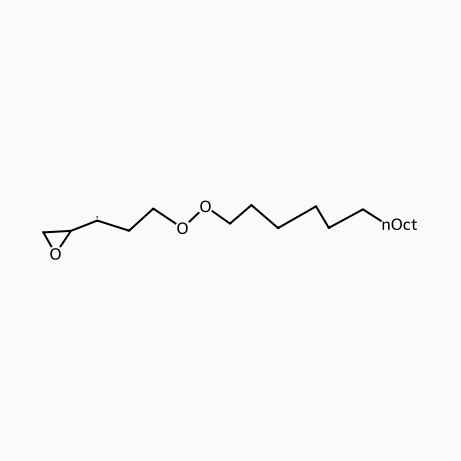 CCCCCCCCCCCCCCOOCC[CH]C1CO1